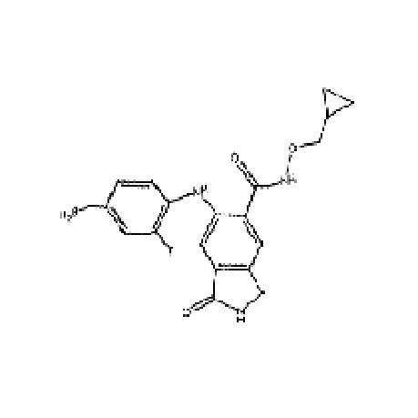 Bc1ccc(Nc2cc3c(cc2C(=O)NOCC2CC2)CNC3=O)c(F)c1